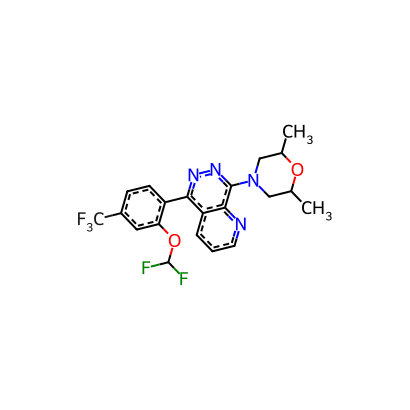 CC1CN(c2nnc(-c3ccc(C(F)(F)F)cc3OC(F)F)c3cccnc23)CC(C)O1